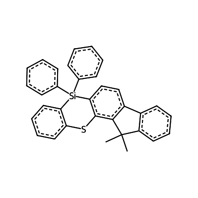 CC1(C)c2ccccc2-c2ccc3c(c21)Sc1ccccc1[Si]3(c1ccccc1)c1ccccc1